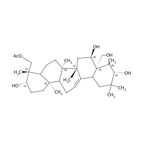 CC(=O)OC[C@]1(C)C2CC[C@]3(C)C(CC=C4C5CC(C)(C)[C@@H](O)[C@H](C)[C@]5(CO)[C@H](O)C[C@]43C)[C@@]2(C)CC[C@@H]1O